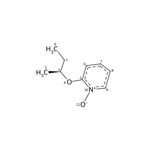 CC[C@H](C)Oc1cccc[n+]1[O-]